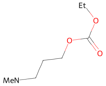 CCOC(=O)OCCCNC